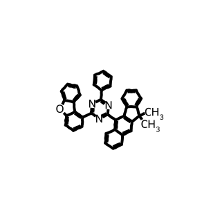 CC1(C)c2ccccc2-c2c1cc1ccccc1c2-c1nc(-c2ccccc2)nc(-c2cccc3oc4ccccc4c23)n1